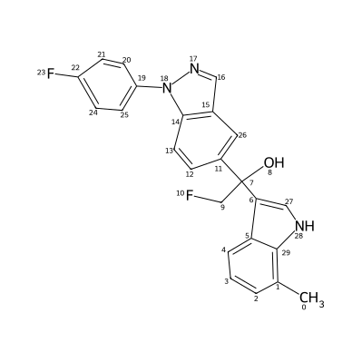 Cc1cccc2c(C(O)(CF)c3ccc4c(cnn4-c4ccc(F)cc4)c3)c[nH]c12